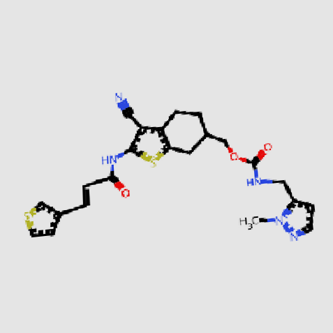 Cn1nccc1CNC(=O)OCC1CCc2c(sc(NC(=O)C=Cc3ccsc3)c2C#N)C1